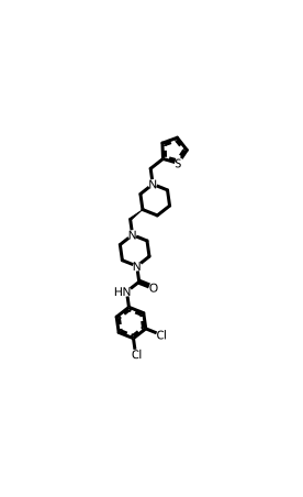 O=C(Nc1ccc(Cl)c(Cl)c1)N1CCN(C[C@@H]2CCCN(Cc3cccs3)C2)CC1